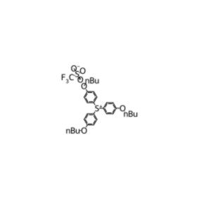 CCCCOc1ccc([S+](c2ccc(OCCCC)cc2)c2ccc(OCCCC)cc2)cc1.O=S(=O)([O-])C(F)(F)F